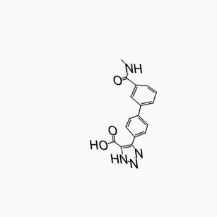 CNC(=O)c1cccc(-c2ccc(-c3nn[nH]c3C(=O)O)cc2)c1